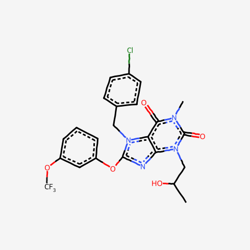 CC(O)Cn1c(=O)n(C)c(=O)c2c1nc(Oc1cccc(OC(F)(F)F)c1)n2Cc1ccc(Cl)cc1